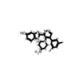 Cc1cc(F)cc(-c2cnnc(-c3nc4cc(C#N)ccc4[nH]3)c2N2CCC(N)CC2)c1